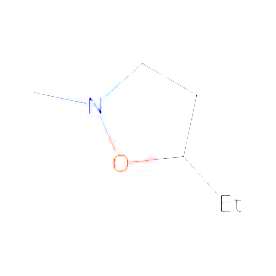 CCC1CCN(C)O1